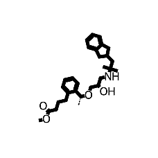 COC(=O)CCCc1ccccc1[C@@H](C)OCC(O)CNC(C)(C)CC1Cc2ccccc2C1